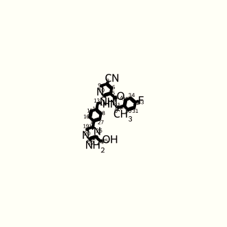 C[C@H](NC(=O)c1cc(C#N)cnc1NCc1ccc(-c2cnc(N)c(CO)n2)cc1)c1ccc(F)cc1